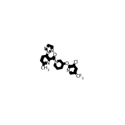 Cc1ccc(-n2nccn2)c(C(=O)N2CCCC(Oc3ncc(C(F)(F)F)cc3Cl)C2)n1